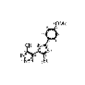 CCc1sc(-c2ccc(OC)cc2)nc1-c1nn[nH]c1C#N